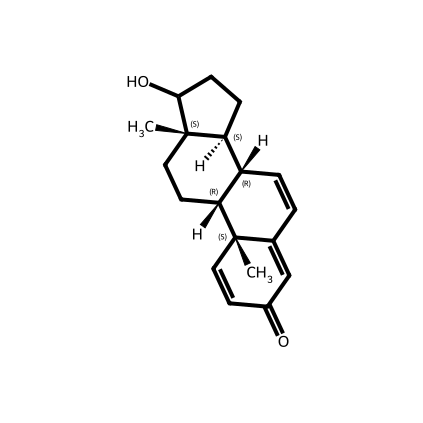 C[C@]12C=CC(=O)C=C1C=C[C@@H]1[C@H]2CC[C@]2(C)C(O)CC[C@@H]12